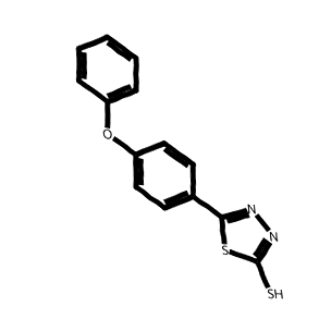 Sc1nnc(-c2ccc(Oc3ccccc3)cc2)s1